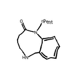 CCCCCN1C(=O)CCNc2ccccc21